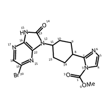 COC(=O)n1ccnc1C1CCC(n2c(=O)[nH]c3ncc(Br)nc32)CC1